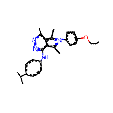 CCOc1ccc(-n2c(C)c3c(C)nnc(Nc4ccc(C(C)C)cc4)c3c2C)cc1